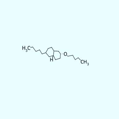 CCCCCO[C@@H]1CC[C@@H]2CC(CCCCC)CCC2C1